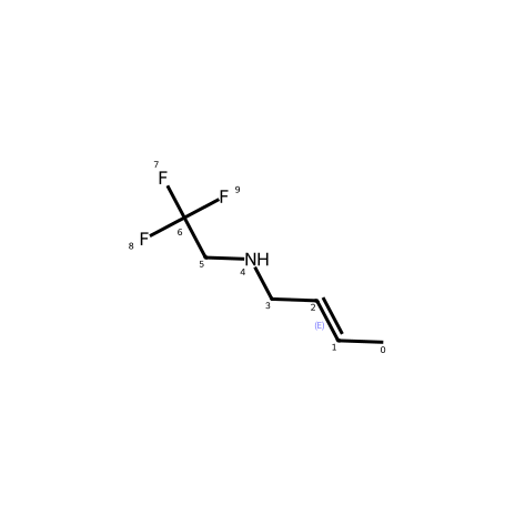 C/C=C/CNCC(F)(F)F